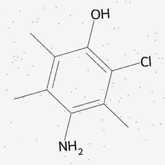 Cc1c(C)c(O)c(Cl)c(C)c1N